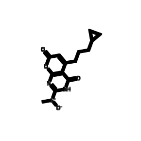 C[S+]([O-])c1nc2oc(=O)cc(CCCC3CC3)c2c(=O)[nH]1